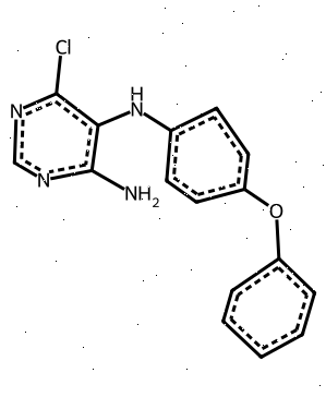 Nc1ncnc(Cl)c1Nc1ccc(Oc2ccccc2)cc1